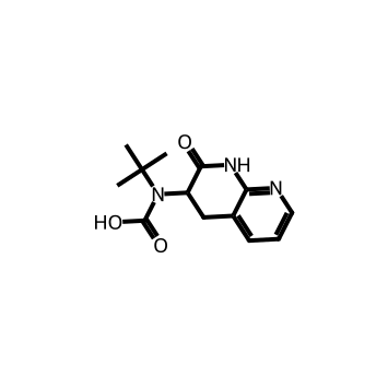 CC(C)(C)N(C(=O)O)C1Cc2cccnc2NC1=O